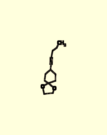 CCCC#CC1CCC2(CC1)OCCO2